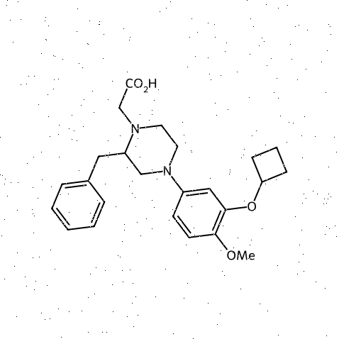 COc1ccc(N2CCN(CC(=O)O)C(Cc3ccccc3)C2)cc1OC1CCC1